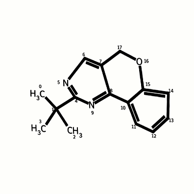 CC(C)(C)c1ncc2c(n1)-c1ccccc1OC2